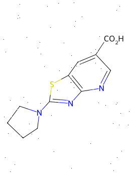 O=C(O)c1cnc2nc(N3CCCC3)sc2c1